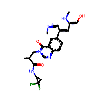 C\N=C/C(=C\C(=C\O)NC)c1ccc2ncn(CC(C)C(=O)NC3CC3(F)F)c(=O)c2c1